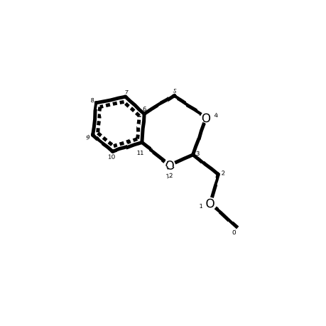 COCC1OCc2ccccc2O1